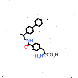 CC(CNC(=O)c1ccc(C[C@H](N)C(=O)O)cc1)c1ccc(-c2ccccc2)cc1